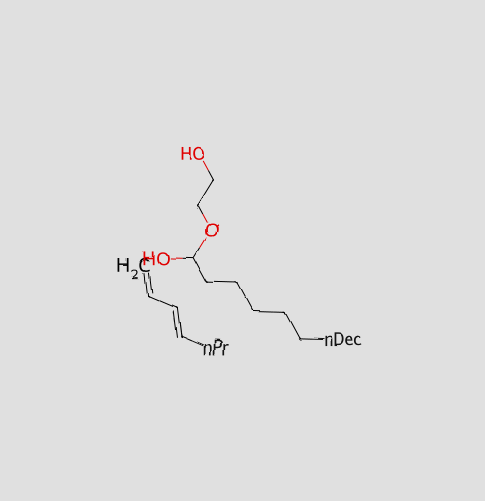 C=CC=CCCC.CCCCCCCCCCCCCCCC(O)OCCO